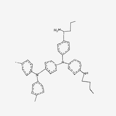 CCCCNc1ccc(N(c2ccc(C(N)CCC)cc2)c2ccc(N(c3ccc(C)cc3)c3ccc(C)cc3)cc2)cc1